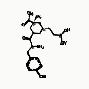 N[C@@H](Cc1ccc(O)cc1)C(=O)N1C[C@@H](CCB(O)O)C[C@](N)(C(=O)O)C1